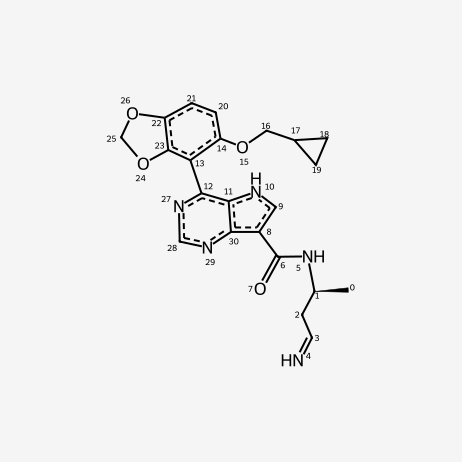 C[C@@H](CC=N)NC(=O)c1c[nH]c2c(-c3c(OCC4CC4)ccc4c3OCO4)ncnc12